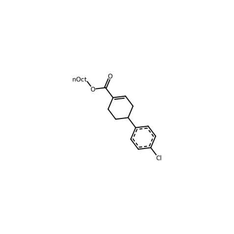 CCCCCCCCOC(=O)C1=CCC(c2ccc(Cl)cc2)CC1